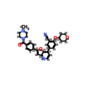 CN1CCN(C(=O)c2ccc(-c3cc4nccc(-c5ccc(OC6CCOCC6)c(C#N)c5)c4o3)cc2)CC1